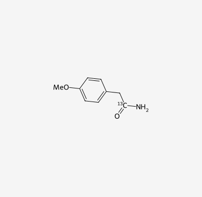 COc1ccc(C[13C](N)=O)cc1